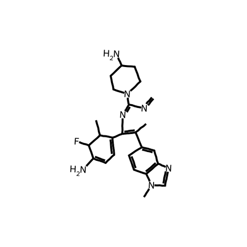 C=N/C(=N\C(C1=CC=C(N)C(F)C1C)=C(/C)c1ccc2c(c1)ncn2C)N1CCC(N)CC1